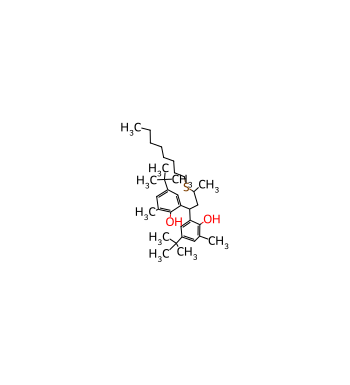 CCCCCCCCSC(C)CC(c1cc(C(C)(C)C)cc(C)c1O)c1cc(C(C)(C)C)cc(C)c1O